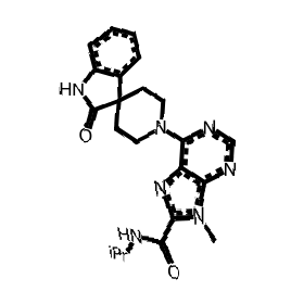 CC(C)NC(=O)c1nc2c(N3CCC4(CC3)C(=O)Nc3ccccc34)ncnc2n1C